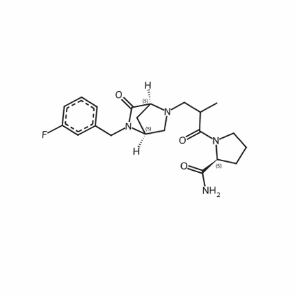 CC(CN1C[C@@H]2C[C@H]1C(=O)N2Cc1cccc(F)c1)C(=O)N1CCC[C@H]1C(N)=O